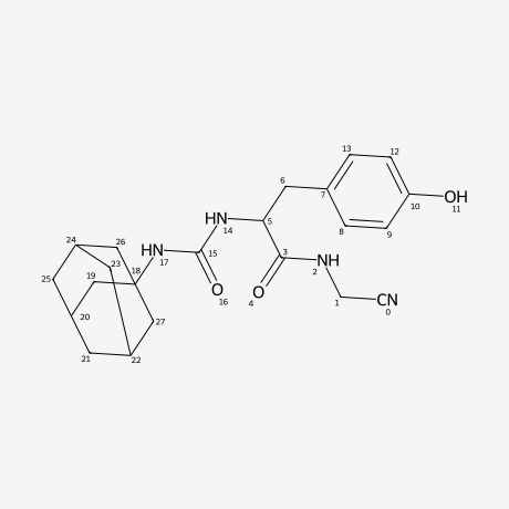 N#CCNC(=O)C(Cc1ccc(O)cc1)NC(=O)NC12CC3CC(CC(C3)C1)C2